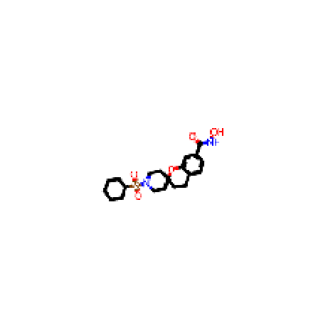 O=C(NO)c1ccc2c(c1)OC1(CC2)CCN(S(=O)(=O)C2CCCCC2)CC1